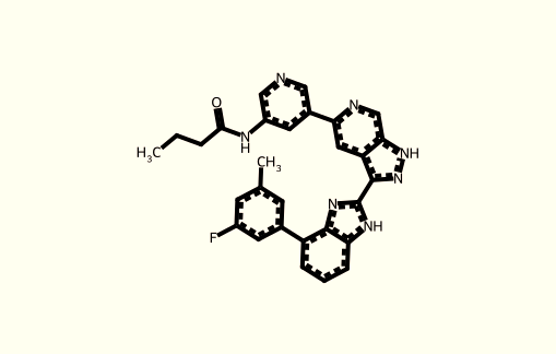 CCCC(=O)Nc1cncc(-c2cc3c(-c4nc5c(-c6cc(C)cc(F)c6)cccc5[nH]4)n[nH]c3cn2)c1